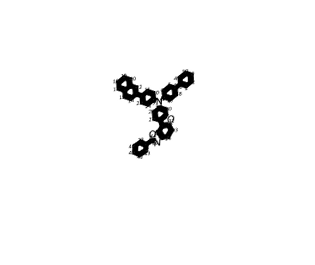 c1ccc(-c2ccc(N(c3ccc(-c4ccc5ccccc5c4)cc3)c3ccc4c(c3)oc3ccc5nc(-c6ccccc6)oc5c34)cc2)cc1